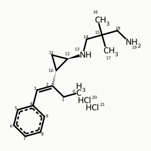 CC/C(=C\c1ccccc1)[C@@H]1C[C@H]1NCC(C)(C)CN.Cl.Cl